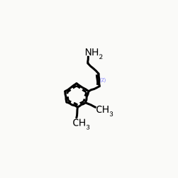 Cc1cccc(/C=C\CN)c1C